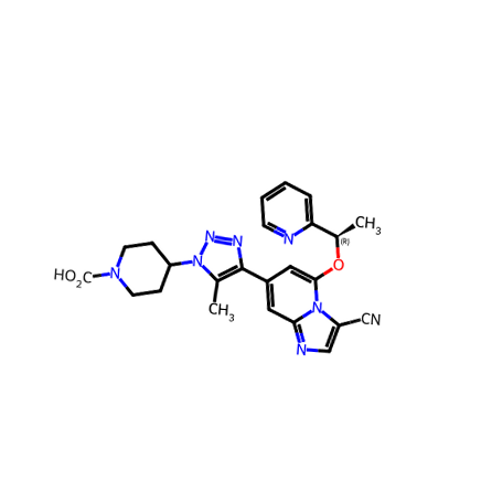 Cc1c(-c2cc(O[C@H](C)c3ccccn3)n3c(C#N)cnc3c2)nnn1C1CCN(C(=O)O)CC1